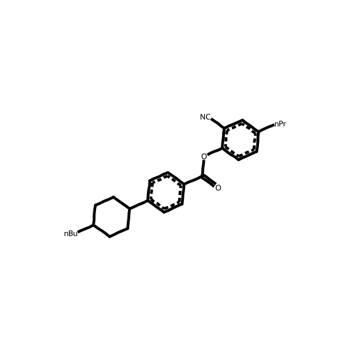 CCCCC1CCC(c2ccc(C(=O)Oc3ccc(CCC)cc3C#N)cc2)CC1